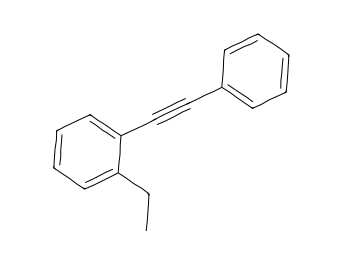 CCc1ccccc1C#Cc1ccccc1